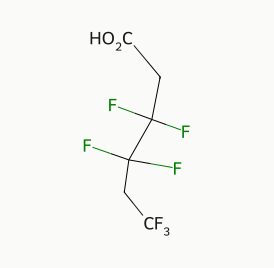 O=C(O)CC(F)(F)C(F)(F)CC(F)(F)F